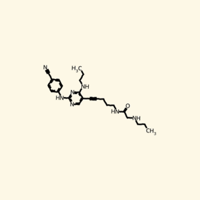 CCCNCC(=O)NCCCC#Cc1cnc(Nc2ccc(C#N)cc2)nc1NCCC